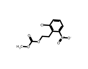 COC(=O)OCCc1c(Cl)cccc1[N+](=O)[O-]